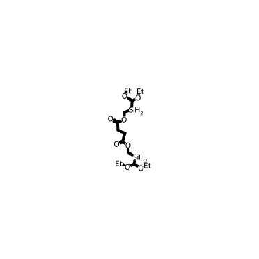 CCOC(OCC)[SiH2]COC(=O)CCC(=O)OC[SiH2]C(OCC)OCC